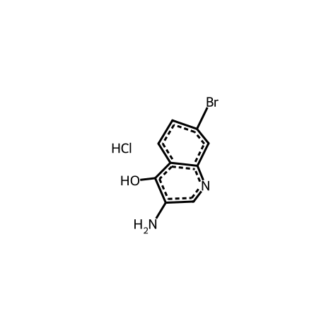 Cl.Nc1cnc2cc(Br)ccc2c1O